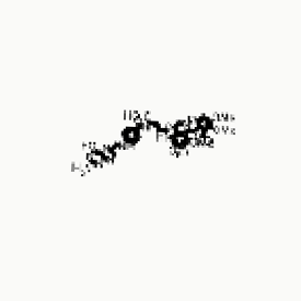 COc1ccc2c(c1OC)C(=O)OC2C1c2c(c(NC(=O)CCC(NC(=O)c3ccc(NCc4cnc5nc(N)nc(O)c5n4)cc3)C(=O)O)c3c(c2OC)OCO3)CCN1C